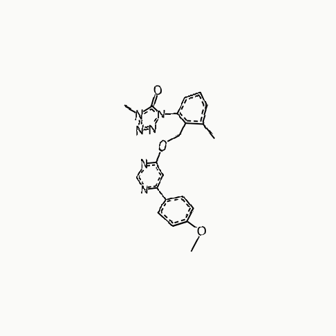 COc1ccc(-c2cc(OCc3c(C)cccc3-n3nnn(C)c3=O)ncn2)cc1